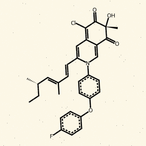 CC[C@H](C)/C=C(C)/C=C/C1=CC2=C(Cl)C(=O)[C@](C)(O)C(=O)C2=CN1c1ccc(Oc2ccc(F)cc2)cc1